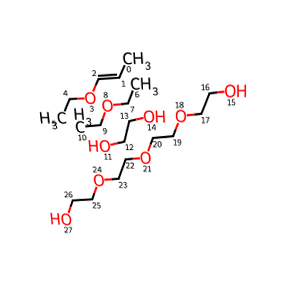 C/C=C/OCC.CCOCC.OCCO.OCCOCCOCCOCCO